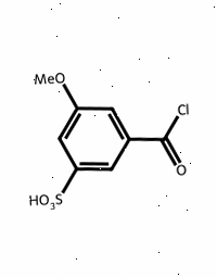 COc1cc(C(=O)Cl)cc(S(=O)(=O)O)c1